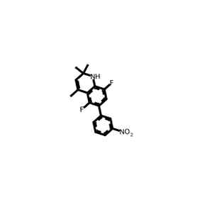 CC1=CC(C)(C)Nc2c(F)cc(-c3cccc([N+](=O)[O-])c3)c(F)c21